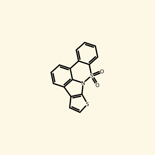 O=S1(=O)c2ccccc2-c2cccc3c4ccsc4n1c23